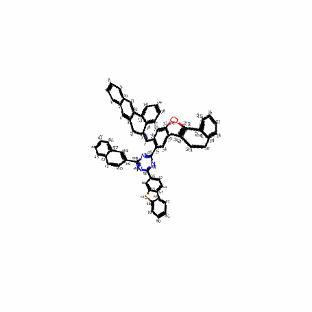 C(=C1\Cc2cc3ccccc3cc2-c2ccccc21)/c1cc2oc3c4ccccc4ccc3c2cc1-c1nc(-c2ccc3ccccc3c2)nc(-c2ccc3c(c2)sc2ccccc23)n1